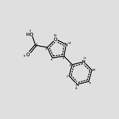 O=C(O)c1cc(-c2cnccn2)no1